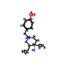 CC1CN(Cc2ccc(O)cc2)CCC1(C)I